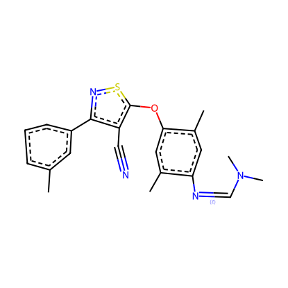 Cc1cccc(-c2nsc(Oc3cc(C)c(/N=C\N(C)C)cc3C)c2C#N)c1